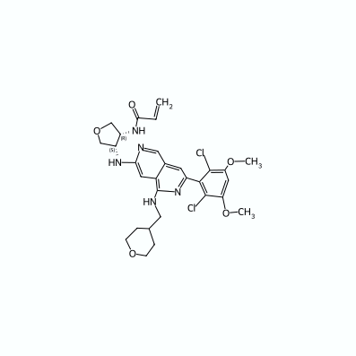 C=CC(=O)N[C@H]1COC[C@H]1Nc1cc2c(NCC3CCOCC3)nc(-c3c(Cl)c(OC)cc(OC)c3Cl)cc2cn1